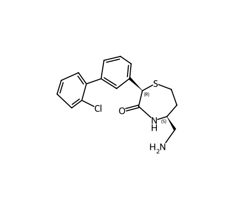 NC[C@@H]1CCS[C@H](c2cccc(-c3ccccc3Cl)c2)C(=O)N1